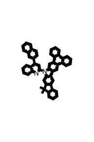 CC1(C)c2ccccc2-c2cc3c4cc5c6ccccc6c6ccccc6c5cc4n(-c4cc(-c5ccc6ccccc6c5)c5ccccc5n4)c3cc21